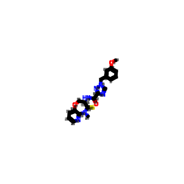 COc1cccc(Cn2cnc(C(=O)N[C@H]3COc4cccnc4N(C)C3=S)n2)c1